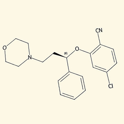 N#Cc1ccc(Cl)cc1O[C@H](CCN1CCOCC1)c1ccccc1